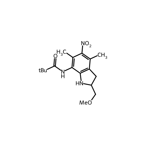 COCC1Cc2c(C)c([N+](=O)[O-])c(C)c(NC(=O)C(C)(C)C)c2N1